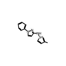 CC1=C[SH](Nc2ccn(-c3ccccc3)n2)C=C1